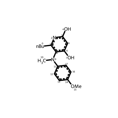 CCCCc1nc(O)[c]c(O)c1N(C)c1ccc(OC)cc1